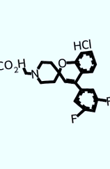 Cl.O=C(O)CN1CCC2(C=C(c3cc(F)cc(F)c3)c3ccccc3O2)CC1